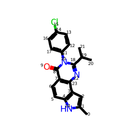 Cc1cc2c(ccc3c(=O)n(-c4ccc(Cl)cc4)c(C(C)C)nc32)[nH]1